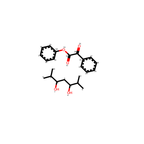 CC(C)C(O)CC(O)C(C)C.O=C(Oc1ccccc1)C(=O)c1ccccc1